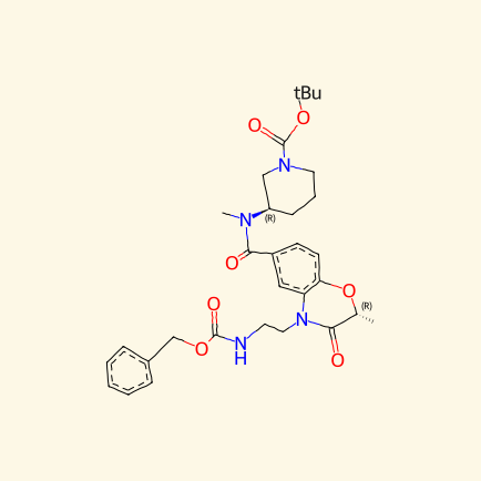 C[C@H]1Oc2ccc(C(=O)N(C)[C@@H]3CCCN(C(=O)OC(C)(C)C)C3)cc2N(CCNC(=O)OCc2ccccc2)C1=O